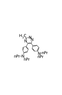 CCCN(CCC)c1ccc(-c2nnc(C)nc2-c2ccc(N(CCC)CCC)cc2)cc1